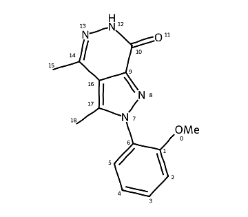 COc1ccccc1-n1nc2c(=O)[nH]nc(C)c2c1C